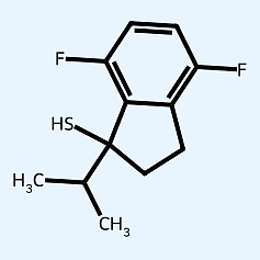 CC(C)C1(S)CCc2c(F)ccc(F)c21